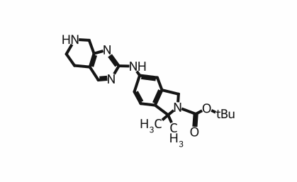 CC(C)(C)OC(=O)N1Cc2cc(Nc3ncc4c(n3)CNCC4)ccc2C1(C)C